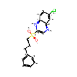 O=S(=O)(CCCc1ccccc1)c1cnc2cc(Cl)ccc2n1